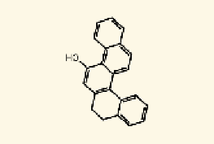 Oc1cc2c(c3ccc4ccccc4c13)-c1ccccc1CC2